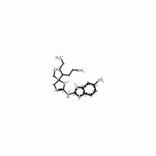 CCCC(CCC)[C@@]1(CC)CN=C(Nc2nc3ccc(C)cc3o2)O1